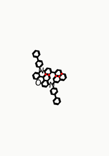 c1ccc(-c2ccc(N(c3ccc(-c4ccccc4)cc3)c3cccc4c3-c3cccc5c(N(c6ccc(-c7ccccc7)cc6)c6ccc7ccccc7c6)ccc(c35)O4)cc2)cc1